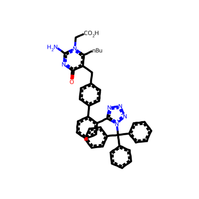 CCCCc1c(Cc2ccc(-c3ccccc3-c3nnnn3C(c3ccccc3)(c3ccccc3)c3ccccc3)cc2)c(=O)nc(N)n1CC(=O)O